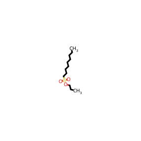 CCCCCCCCCS(=O)(=O)OCCC